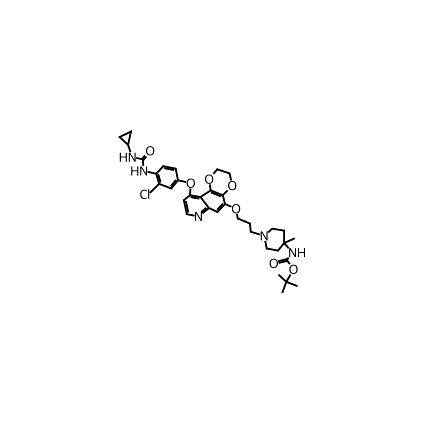 CC1(NC(=O)OC(C)(C)C)CCN(CCCOc2cc3nccc(Oc4ccc(NC(=O)NC5CC5)c(Cl)c4)c3c3c2OCCO3)CC1